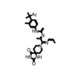 C=C(/N=C(C)/C(=N\C=C/C)N1CCC2(CC1)NC(=O)NC2=O)Nc1ccc(C(C)(C)C(C)=O)c(C)c1